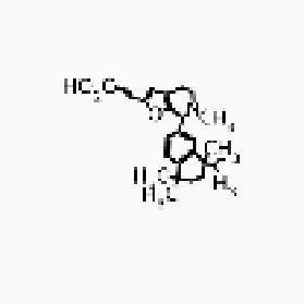 CN1CCc2cc(/C=C/C(=O)O)oc2C1c1ccc2c(c1)C(C)(C)CCC2(C)C